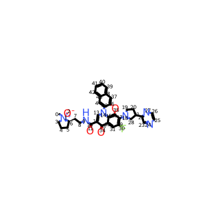 C[N+]1([O-])CCC[C@@H]1CCNC(=O)c1cn2c3c(c(N4CCC(c5cnccn5)C4)c(F)cc3c1=O)Oc1cc3ccccc3cc1-2